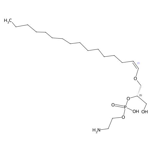 CCCCCCCCCCCCCC/C=C\OC[C@H](CO)OP(=O)(O)OCCN